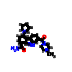 CN1CCN(C(=O)c2ccc3c(c2)[nH]c2c(C(N)=O)ccc(N4CCCCC4)c23)CC1